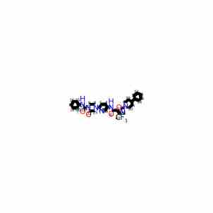 O=C(Nc1ccc(N2CCN(C(=O)Nc3ccccc3F)C(=O)C2)nc1)c1oc(N2CCC(c3ccccc3)CC2)nc1C(F)(F)F